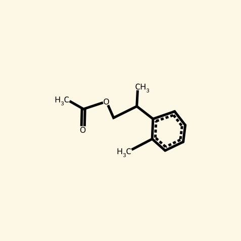 CC(=O)OCC(C)c1ccccc1C